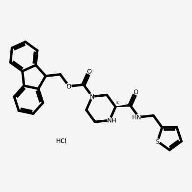 Cl.O=C(NCc1cccs1)[C@@H]1CN(C(=O)OCC2c3ccccc3-c3ccccc32)CCN1